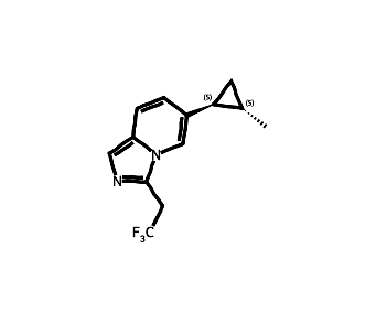 C[C@H]1C[C@@H]1c1ccc2cnc(CC(F)(F)F)n2c1